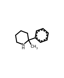 CC1(c2ccccc2)CCCCN1